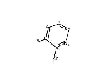 Cc1cccn[c]1[Zn]